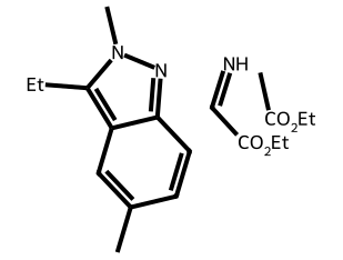 CCOC(=O)C=N.CCOC(C)=O.CCc1c2cc(C)ccc2nn1C